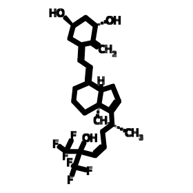 C=C1/C(=C\C=C2/CCC[C@]3(C)C([C@H](C)C/C=C\C(O)(C(F)(F)F)C(F)(F)F)=CC[C@@H]23)C[C@@H](O)C[C@@H]1O